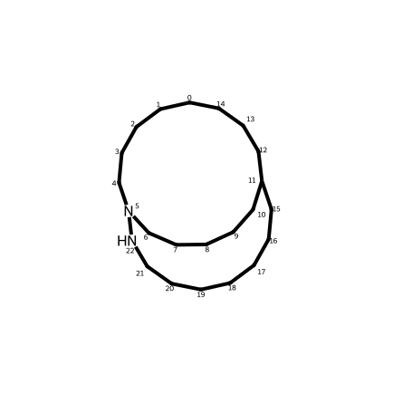 C1CCCCN2CCCCCC(CCC1)CCCCCCCN2